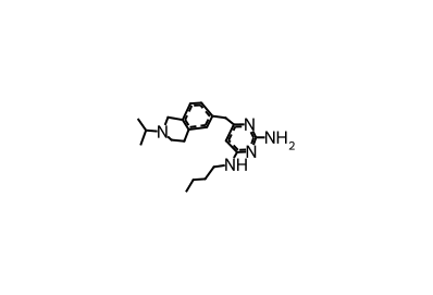 CCCCNc1cc(Cc2ccc3c(c2)CCN(C(C)C)C3)nc(N)n1